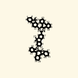 CC1(C)c2ccccc2-c2ccc(-c3nc(-c4ccc5c(c4)C(C)(C)c4cc(-n6c7ccccc7c7c8ccccc8c8c9ccccc9sc8c76)ccc4-5)nc4c5ccccc5c5ccccc5c34)cc21